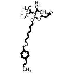 CCCc1ccc(COCCCCCCOP(OCCC#N)N(C(C)C)C(C)C)cc1